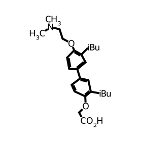 CCC(C)c1cc(-c2ccc(OCC(=O)O)c(C(C)CC)c2)ccc1OCCN(C)C